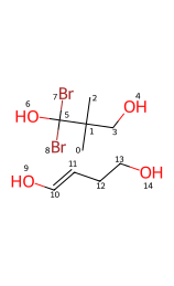 CC(C)(CO)C(O)(Br)Br.OC=CCCO